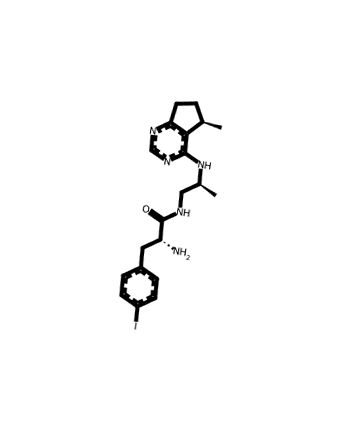 C[C@@H]1CCc2ncnc(N[C@@H](C)CNC(=O)[C@H](N)Cc3ccc(I)cc3)c21